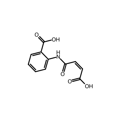 O=C(O)/C=C\C(=O)Nc1ccccc1C(=O)O